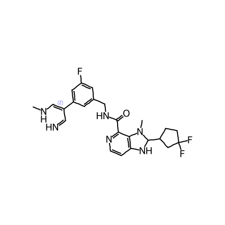 CN/C=C(\C=N)c1cc(F)cc(CNC(=O)c2nccc3c2N(C)C(C2CCC(F)(F)C2)N3)c1